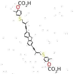 CC(C#Cc1ccc2c(c1)Cc1cc(C#CC(C)=CCSc3ccc(OCC(=O)O)c(C)c3)ccc1-2)=CCSc1ccc(OCC(=O)O)c(C)c1